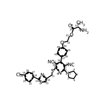 [C-]#[N+]c1c(N2CCCC2)nc(SCc2csc(-c3ccc(Cl)cc3)n2)c(C#N)c1-c1ccc(OCCOC(=O)[C@H](C)N)cc1